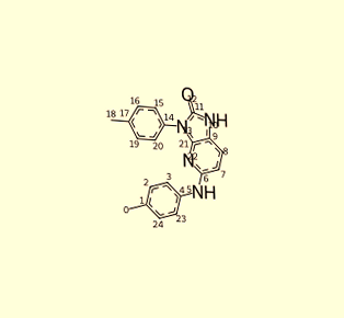 Cc1ccc(Nc2ccc3[nH]c(=O)n(-c4ccc(C)cc4)c3n2)cc1